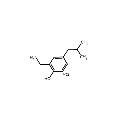 CC(C)Cc1ccc(O)c(CN)c1.Cl